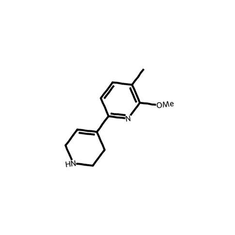 COc1nc(C2=CCNCC2)ccc1C